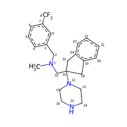 CN(Cc1cccc(C(F)(F)F)c1)CC1(N2CCNCC2)Cc2ccccc2C1